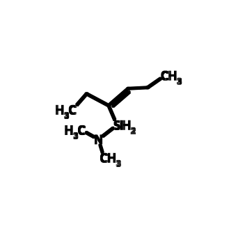 CCC=C(CC)[SiH2]N(C)C